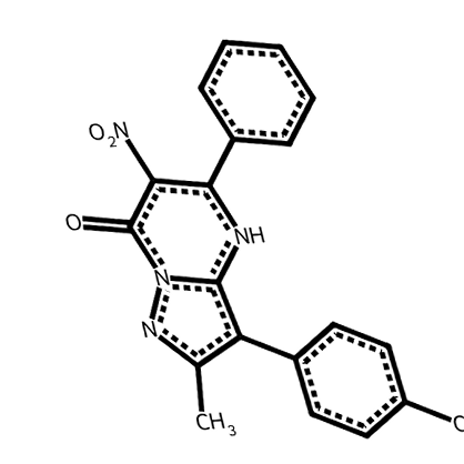 Cc1ccc(-c2c(C)nn3c(=O)c([N+](=O)[O-])c(-c4ccccc4)[nH]c23)cc1